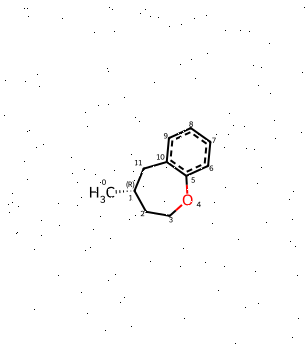 C[C@H]1CCOc2ccccc2C1